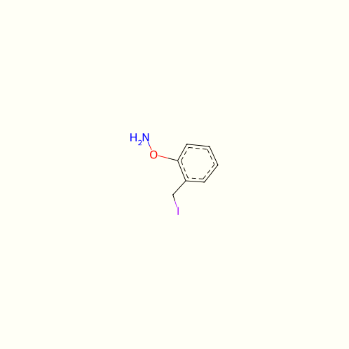 NOc1ccccc1CI